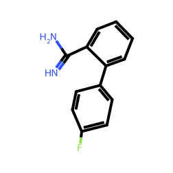 N=C(N)c1ccccc1-c1ccc(F)cc1